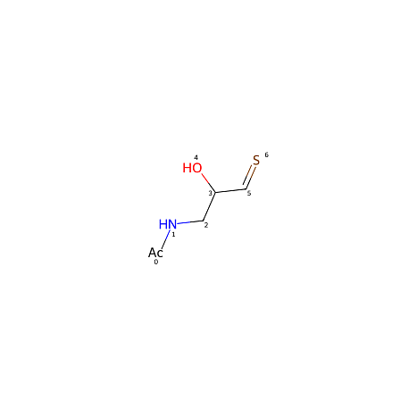 CC(=O)NCC(O)C=S